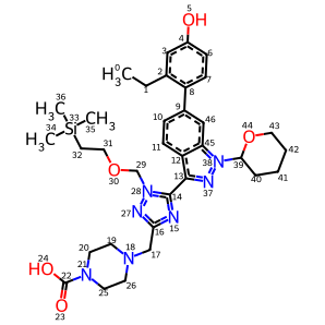 CCc1cc(O)ccc1-c1ccc2c(-c3nc(CN4CCN(C(=O)O)CC4)nn3COCC[Si](C)(C)C)nn(C3CCCCO3)c2c1